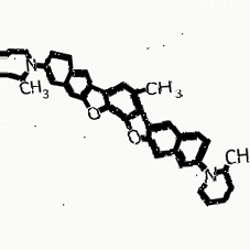 Cc1cc2c3cc4ccc(N5CCCCC5C)cc4cc3oc2c2oc3cc4cc(N5CCCCC5C)ccc4cc3c12